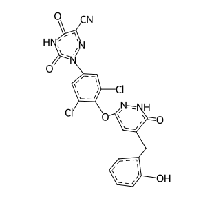 N#Cc1nn(-c2cc(Cl)c(Oc3cc(Cc4ccccc4O)c(=O)[nH]n3)c(Cl)c2)c(=O)[nH]c1=O